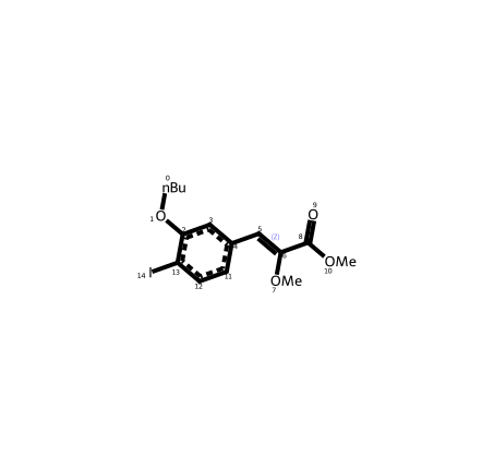 CCCCOc1cc(/C=C(\OC)C(=O)OC)ccc1I